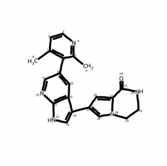 Cc1ccnc(C)c1-c1cnc2[nH]cc(-c3cc4n(c3)CCNC4=O)c2c1